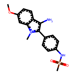 COc1ccc2c(N)c(-c3ccc(NS(C)(=O)=O)cc3)n(C)c2c1